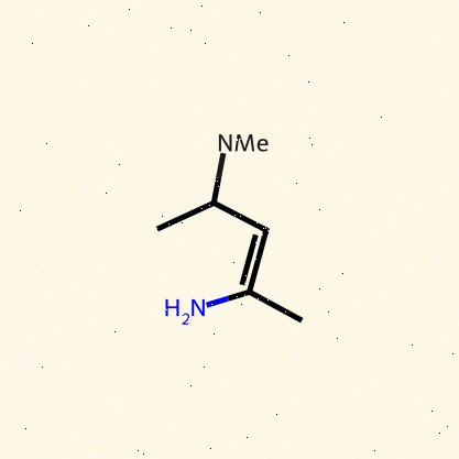 CNC(C)/C=C(/C)N